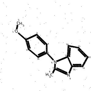 COc1ccc(-n2c(C)nc3ccccc32)cc1